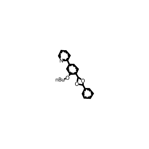 CCCCOc1cc(-c2ccccn2)ccc1C1OC(c2ccccc2)O1